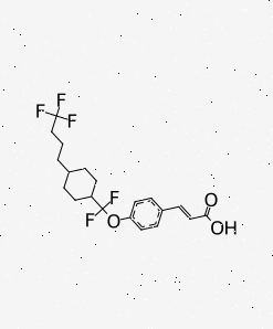 O=C(O)C=Cc1ccc(OC(F)(F)C2CCC(CCCC(F)(F)F)CC2)cc1